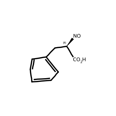 O=N[C@H](Cc1ccccc1)C(=O)O